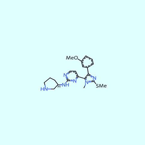 COc1cccc(-c2nc(SC)n(C)c2-c2ccnc(N[C@@H]3CCCNC3)n2)c1